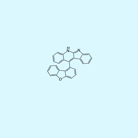 c1ccc2c3c(-c4cccc5oc6ccccc6c45)c4ccccc4[nH]c-3nc2c1